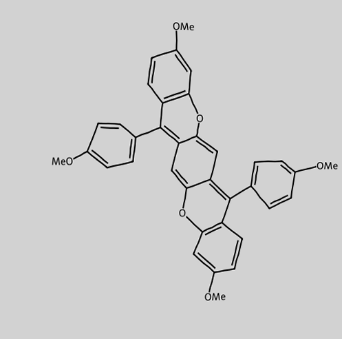 COc1ccc(C2=c3cc4c(cc3Oc3cc(OC)ccc32)=C(c2ccc(OC)cc2)c2ccc(OC)cc2O4)cc1